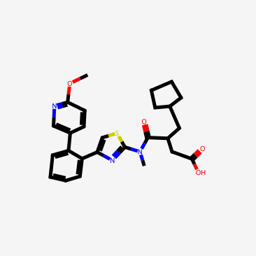 COc1ccc(-c2ccccc2-c2csc(N(C)C(=O)C(CC(=O)O)CC3CCCC3)n2)cn1